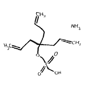 C=CCC(CC=C)(CC=C)OS(=O)(=O)O.N